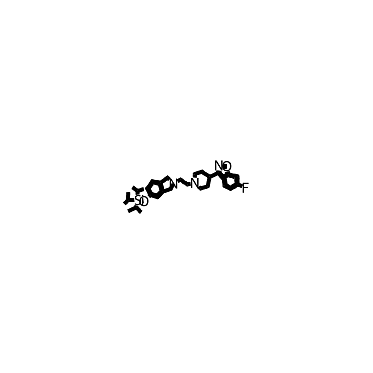 CC(C)[Si](Oc1ccc2c(c1)CN(CCN1CCC(c3noc4cc(F)ccc34)CC1)C2)(C(C)C)C(C)C